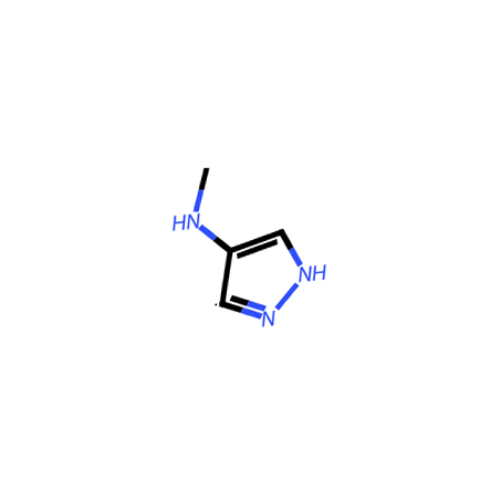 CNc1[c]n[nH]c1